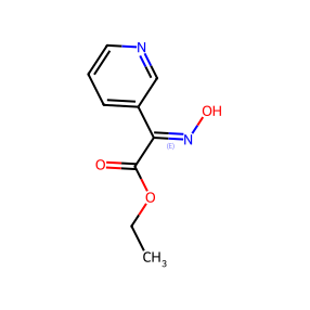 CCOC(=O)/C(=N/O)c1cccnc1